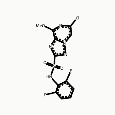 COc1nc(Cl)cn2nc(S(=O)(=O)Nc3c(F)cccc3F)nc12